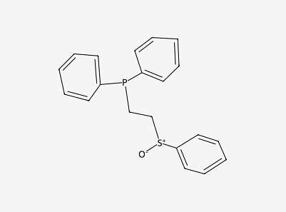 [O-][S+](CCP(c1ccccc1)c1ccccc1)c1ccccc1